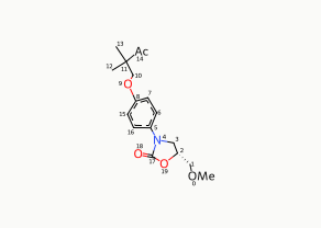 COC[C@H]1CN(c2ccc(OCC(C)(C)C(C)=O)cc2)C(=O)O1